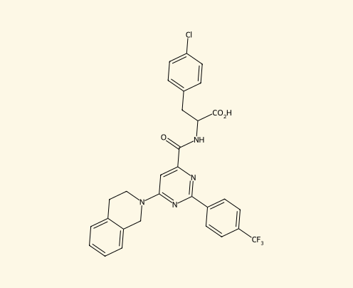 O=C(NC(Cc1ccc(Cl)cc1)C(=O)O)c1cc(N2CCc3ccccc3C2)nc(-c2ccc(C(F)(F)F)cc2)n1